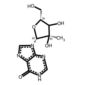 C[C@@]1(O)C(O)[C@@H](CO)O[C@H]1n1cnc2c(=O)[nH]cnc21